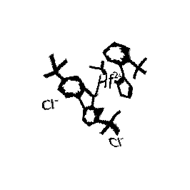 C[C](C)=[Hf+2]([C]1=C(c2ccccc2C(C)(C)C)C=CC1)[CH]1c2cc(C(C)(C)C)ccc2-c2ccc(C(C)(C)C)cc21.[Cl-].[Cl-]